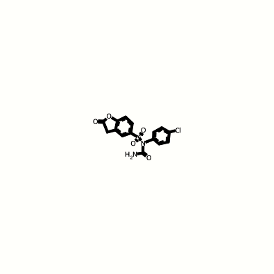 NC(=O)N(c1ccc(Cl)cc1)S(=O)(=O)c1ccc2c(c1)CC(=O)O2